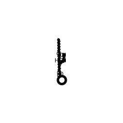 CCCCCCCCCCCOC(=O)CCCCCN(CCCCCCOC(=O)OC1CCCCCCCCCCCCCCC1)CC(O)CN(C)CCCN(C)C